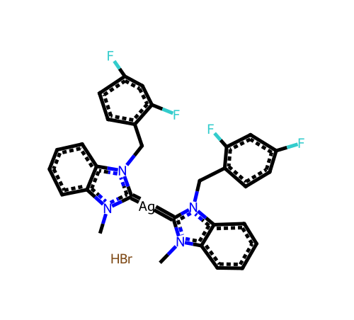 Br.Cn1[c](=[Ag]=[c]2n(C)c3ccccc3n2Cc2ccc(F)cc2F)n(Cc2ccc(F)cc2F)c2ccccc21